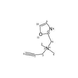 C#CC[N+](C)(C)Cc1ncco1